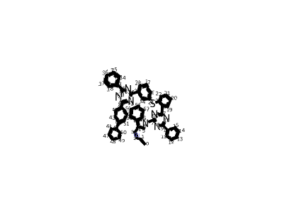 C=C/C=C\c1cn(-c2nc(-c3ccccc3)nc(-c3ccccc3Sc3cccc(-c4nc(-c5ccccc5)nc(-c5ccc(-c6ccccc6)cc5)n4)c3)n2)c2ccccc12